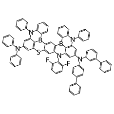 Fc1cccc(F)c1N1c2cc3c(cc2B2c4ccccc4N(c4ccccc4)c4cc(N(c5ccc(-c6ccccc6)cc5)c5cccc(-c6ccccc6)c5)cc1c42)B1c2ccccc2N(c2ccccc2)c2cc(N(c4ccccc4)c4ccccc4)cc(c21)S3